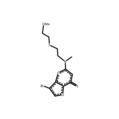 COCCSCCN(C)c1cc(=S)c2occ(Br)c2o1